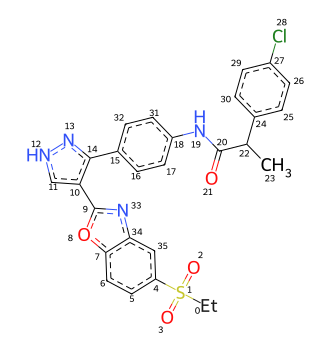 CCS(=O)(=O)c1ccc2oc(-c3c[nH]nc3-c3ccc(NC(=O)C(C)c4ccc(Cl)cc4)cc3)nc2c1